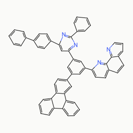 c1ccc(-c2ccc(-c3cc(-c4cc(-c5ccc6c7ccccc7c7ccccc7c6c5)cc(-c5ccc6ccc7cccnc7c6n5)c4)nc(-c4ccccc4)n3)cc2)cc1